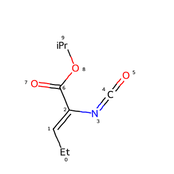 CC/C=C(\N=C=O)C(=O)OC(C)C